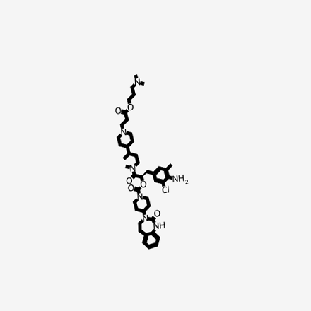 Cc1cc(C[C@@H](OC(=O)N2CCC(N3CCc4ccccc4NC3=O)CC2)C(=O)N(C)CCC(C)C2CCN(CCC(=O)OCCCN(C)C)CC2)cc(Cl)c1N